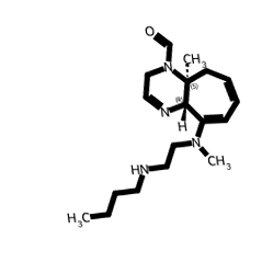 CCCCNCCN(C)C1=CC=CC[C@@]2(C)[C@H]1N=CCN2C=O